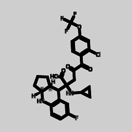 O=C(CC(NC1CC1)(C(=O)O)C1c2cc(F)ccc2N[C@@H]2CCC[C@H]12)C(=O)c1ccc(OC(F)(F)F)cc1Cl